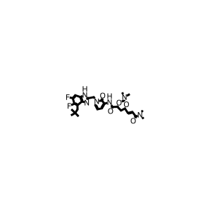 CN(C)C(=O)C=CCCC(OC(=O)N(C)C)C(=O)Nc1cccn(Cc2nc3c(CC(C)(C)C)c(F)c(F)cc3[nH]2)c1=O